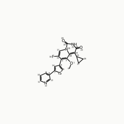 COc1c(-c2csc(-c3cccnc3)c2)c(F)cn2c(=O)[nH]c(=O)c(C3CC3)c12